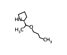 CCCCOC(C)[C@@H]1CCCN1